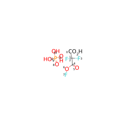 O=C(O)C(F)(F)C(=O)OF.O=P(O)(O)O